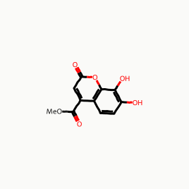 COC(=O)c1cc(=O)oc2c(O)c(O)ccc12